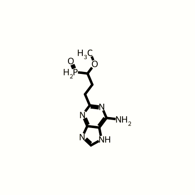 COC(CCc1nc(N)c2[nH]cnc2n1)[PH2]=O